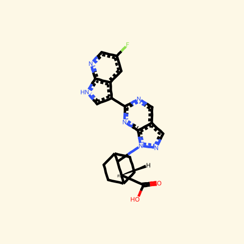 O=C(O)[C@@H]1C2CCC(CC2)C1n1ncc2cnc(-c3c[nH]c4ncc(F)cc34)nc21